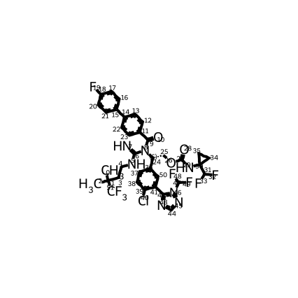 CC(C)(CCNC(=N)N(C(=O)c1ccc(-c2ccc(F)cc2)cc1)[C@H](COC(=O)NC1(C(F)F)CC1)c1ccc(Cl)c(-c2ncnn2C(F)F)c1)C(F)(F)F